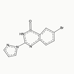 O=c1[nH]c(-n2cccn2)nc2ccc(Br)cc12